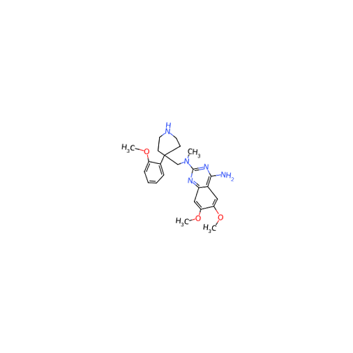 COc1cc2nc(N(C)CC3(c4ccccc4OC)CCNCC3)nc(N)c2cc1OC